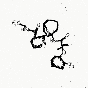 CC(C)(Oc1ccccc1C(F)(F)F)C(=O)NC12CCCC(CC1)N2c1ncccc1C(=O)NCC(F)(F)F